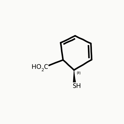 O=C(O)C1C=CC=C[C@H]1S